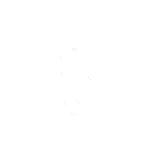 CNc1nccc(-c2cccnc2Oc2cc(F)c(N[S+]([O-])Cc3ccccc3)c(F)c2F)n1